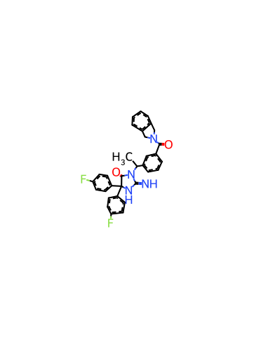 CC(c1cccc(C(=O)N2Cc3ccccc3C2)c1)N1C(=N)NC(c2ccc(F)cc2)(c2ccc(F)cc2)C1=O